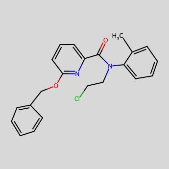 Cc1ccccc1N(CCCl)C(=O)c1cccc(OCc2ccccc2)n1